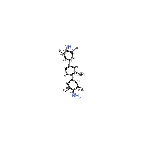 Cc1cc(-c2ccc(-c3cc(C)c(N)c(C)c3)c(C(C)C)c2)cc(C)c1N